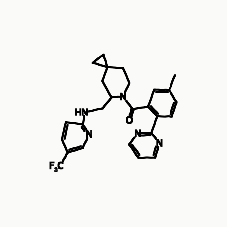 Cc1ccc(-c2ncccn2)c(C(=O)N2CCC3(CC3)CC2CNc2ccc(C(F)(F)F)cn2)c1